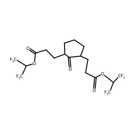 O=C(CCC1CCCC(CCC(=O)OC(C(F)(F)F)C(F)(F)F)C1=O)OC(C(F)(F)F)C(F)(F)F